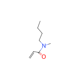 C=CC(=O)N(C)CCCC